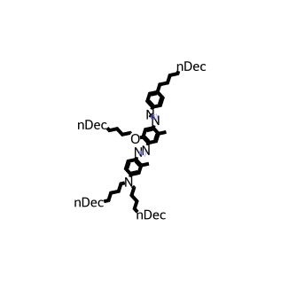 CCCCCCCCCCCCCCOc1cc(/N=N/c2ccc(CCCCCCCCCCCCCC)cc2)c(C)cc1/N=N/c1ccc(N(CCCCCCCCCCCCCC)CCCCCCCCCCCCCC)cc1C